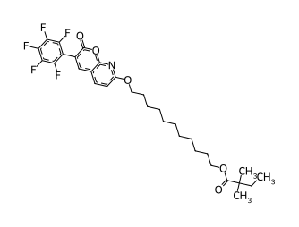 CCC(C)(C)C(=O)OCCCCCCCCCCCOc1ccc2cc(-c3c(F)c(F)c(F)c(F)c3F)c(=O)oc2n1